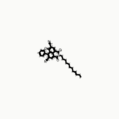 CCCCCCCCCCCCn1c(=O)c2cc(C#N)c3oc4ccccc4c4c(C#N)cc(c1=O)c2c34